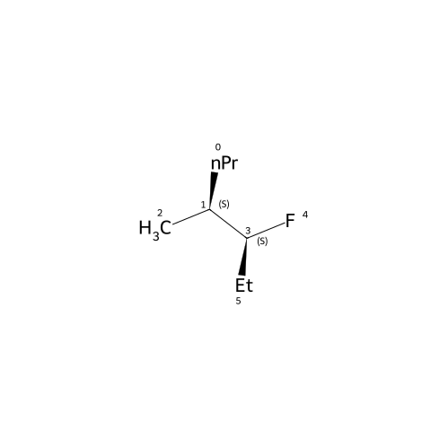 CCC[C@H](C)[C@@H](F)CC